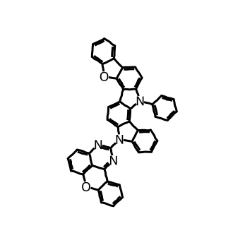 c1ccc(-n2c3ccc4c5ccccc5oc4c3c3ccc4c(c5ccccc5n4-c4nc5c6c(cccc6n4)Oc4ccccc4-5)c32)cc1